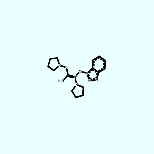 N/C(ON1CCCC1)=[N+](/On1nnc2ccccc21)N1CCCC1